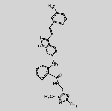 Cc1ccnc(/C=C/c2n[nH]c3cc(Nc4ccccc4C(=O)NCc4cc(C)nn4C)ccc23)c1